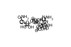 NC(=O)C1=CN([C@@H]2O[C@H](COP(=O)(O)OP(=O)(O)OC[C@]34O[C@@H](n5cnc6c(N)ncnc65)[C@@H](OP(=O)(O)O)[C@@]3(O)OS(=O)O4)[C@@H](O)[C@H]2O)C=CC1